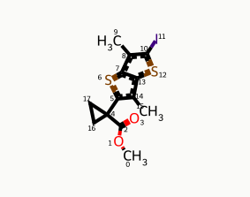 COC(=O)C1(c2sc3c(C)c(I)sc3c2C)CC1